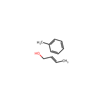 CC=CCO.Cc1ccccc1